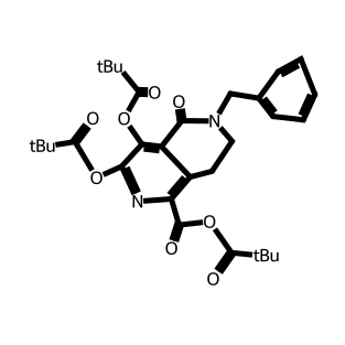 CC(C)(C)C(=O)OC(=O)c1nc(OC(=O)C(C)(C)C)c(OC(=O)C(C)(C)C)c2c1CCN(Cc1ccccc1)C2=O